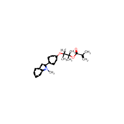 C=C(C)C(=O)OC(C)(C)C(C)(C)Oc1ccc(-c2cc3ccccc3n2C)cc1